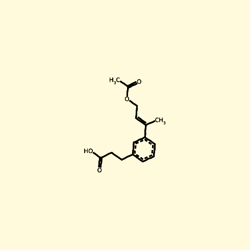 CC(=O)OCC=C(C)c1cccc(CCC(=O)O)c1